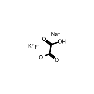 O=C([O-])C(=O)O.[F-].[K+].[Na+]